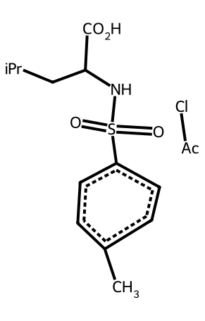 CC(=O)Cl.Cc1ccc(S(=O)(=O)NC(CC(C)C)C(=O)O)cc1